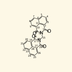 O=C1c2cccc3cccc(c23)C(=O)N1CN1C(=O)c2cccc3cccc(c23)C1=O